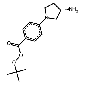 CC(C)(C)OOC(=O)c1ccc(N2CC[C@H](N)C2)cc1